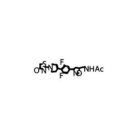 CC(=O)NCC1CC(c2cc(F)c(C3=CCN(C4=NC(=O)CS4)CC3)c(F)c2)=NO1